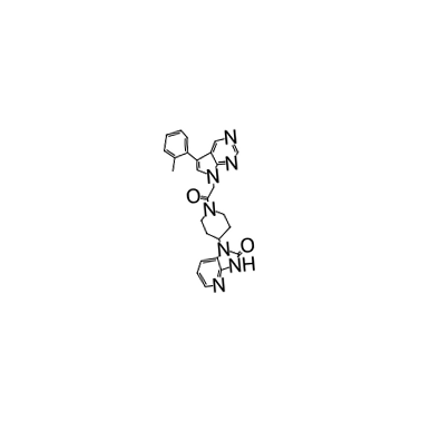 Cc1ccccc1-c1cn(CC(=O)N2CCC(n3c(=O)[nH]c4ncccc43)CC2)c2ncncc12